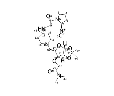 [C-]#[N+][C@@H]1CCCN1C(=O)CNC1(C)CCN(C[C@H]2O[C@@H]3OC(C)(C)O[C@@H]3[C@H]2OCC(=O)N(C)C)CC1